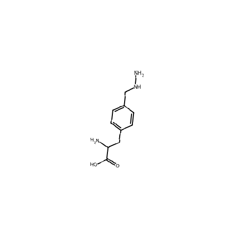 NNCc1ccc(CC(N)C(=O)O)cc1